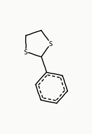 c1ccc(C2SCCS2)cc1